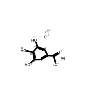 [Ag+].[Cl-].[K+].[O-]C(=S)c1cc(O)c(O)c(O)c1